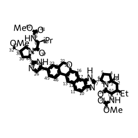 CCC1C[C@H]2CC[C@@H](c3nc4ccc5cc6c(cc5c4[nH]3)OCc3cc(-c4cnc([C@@H]5C[C@H](COC)CN5C(=O)[C@@H](NC(=O)OC)C(C)C)[nH]4)ccc3-6)N2C(=O)[C@H]1NC(=O)OC